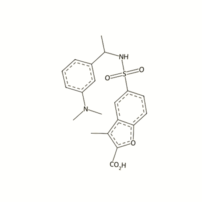 Cc1c(C(=O)O)oc2ccc(S(=O)(=O)NC(C)c3cccc(N(C)C)c3)cc12